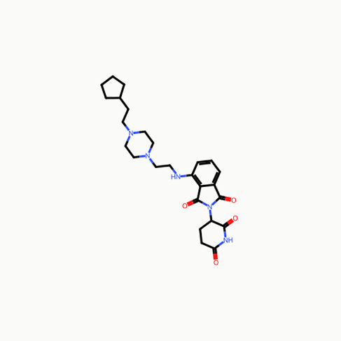 O=C1CCC(N2C(=O)c3cccc(NCCN4CCN(CCC5CCCC5)CC4)c3C2=O)C(=O)N1